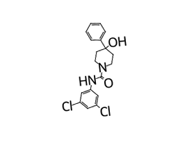 O=C(Nc1cc(Cl)cc(Cl)c1)N1CCC(O)(c2ccccc2)CC1